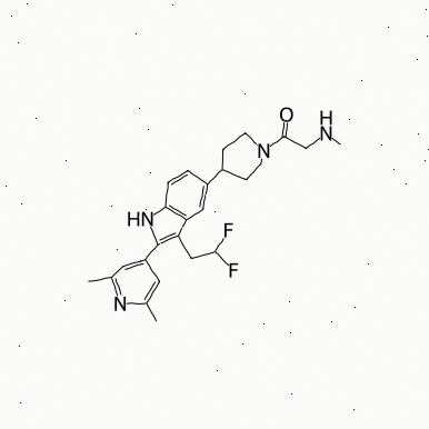 CNCC(=O)N1CCC(c2ccc3[nH]c(-c4cc(C)nc(C)c4)c(CC(F)F)c3c2)CC1